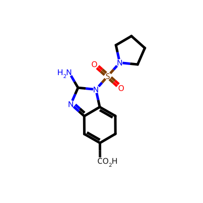 NC1N=C2C=C(C(=O)O)CC=C2N1S(=O)(=O)N1CCCC1